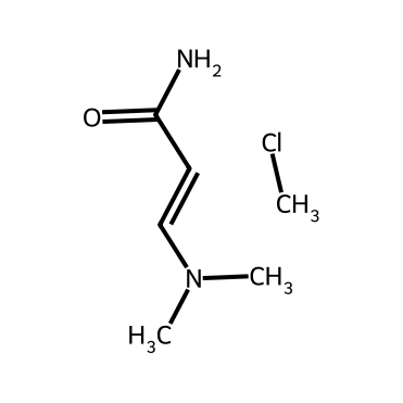 CCl.CN(C)C=CC(N)=O